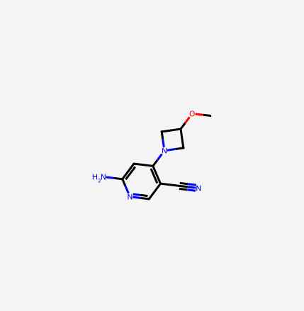 COC1CN(c2cc(N)ncc2C#N)C1